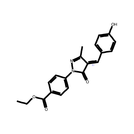 CCOC(=O)c1ccc(N2N=C(C)/C(=C\c3ccc(O)cc3)C2=O)cc1